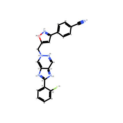 N#Cc1ccc(-c2cc(Cn3cc4nc(-c5ccccc5F)nc-4cn3)on2)cc1